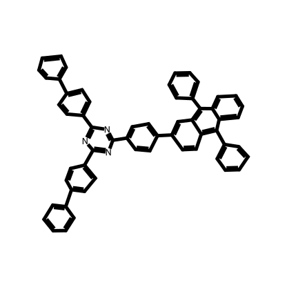 c1ccc(-c2ccc(-c3nc(-c4ccc(-c5ccccc5)cc4)nc(-c4ccc(-c5ccc6c(-c7ccccc7)c7ccccc7c(-c7ccccc7)c6c5)cc4)n3)cc2)cc1